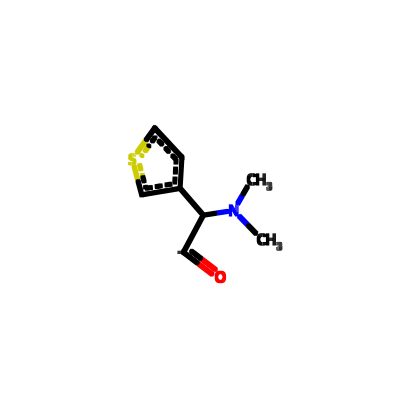 CN(C)C([C]=O)c1ccsc1